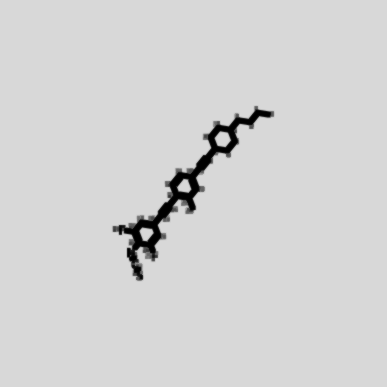 CCCCC1CCC(C#Cc2ccc(C#Cc3cc(F)c(N=C=S)c(F)c3)c(C)c2)CC1